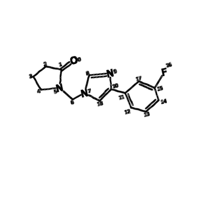 O=C1CCCN1Cn1cnc(-c2cccc(F)c2)c1